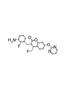 Nc1cccc(Cc2c(CF)c3ccc(Oc4ncccn4)cc3oc2=O)c1F